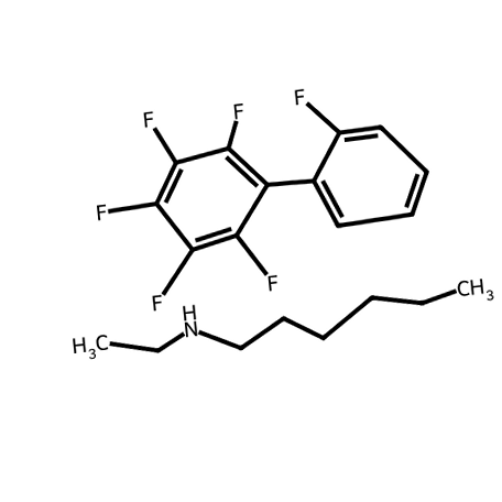 CCCCCCNCC.Fc1ccccc1-c1c(F)c(F)c(F)c(F)c1F